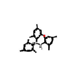 Cc1cc(C)c([SiH2][SiH](c2c(C)cc(C)cc2C)c2c(C)cc(C)cc2C)c(C)c1